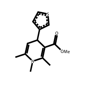 COC(=O)C1=C(C)N(C)C(C)=CC1c1ccsc1